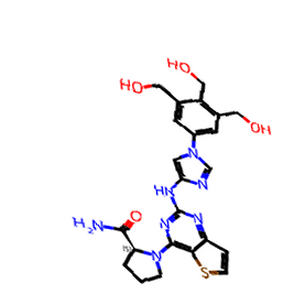 NC(=O)[C@@H]1CCCN1c1nc(Nc2cn(-c3cc(CO)c(CO)c(CO)c3)cn2)nc2ccsc12